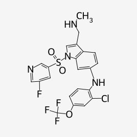 CNCc1cn(S(=O)(=O)c2cncc(F)c2)c2cc(Nc3ccc(OC(F)(F)F)cc3Cl)ccc12